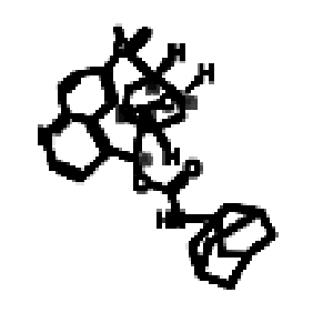 C=C[C@H]1CN2CC[C@H]1C[C@@H]2[C@@H](OC(=O)NC12CC3CC(CC(C3)C1)C2)c1ccnc2ccc(OC)cc12